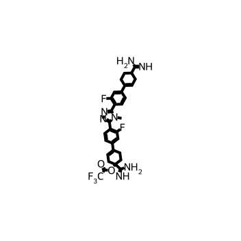 Cn1c(-c2ccc(C3=CCC(C(=N)N)CC3)cc2F)nnc1-c1ccc(C2=CCC(OC(=O)C(F)(F)F)(C(=N)N)CC2)cc1F